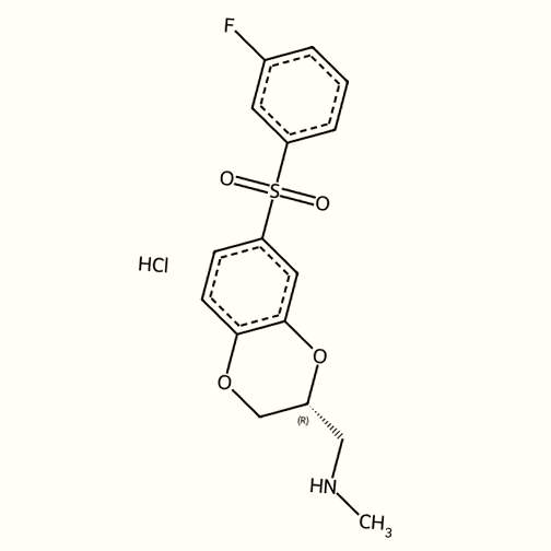 CNC[C@@H]1COc2ccc(S(=O)(=O)c3cccc(F)c3)cc2O1.Cl